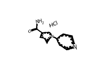 Cl.NC(=O)c1ccn(-c2ccncc2)c1